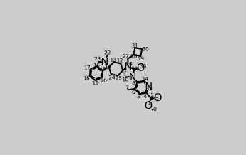 COC(=O)c1cc(C)c(N2C[C@]3(CC[C@@](c4ccccc4)(N(C)C)CC3)N(CC3CCC3)C2=O)cn1